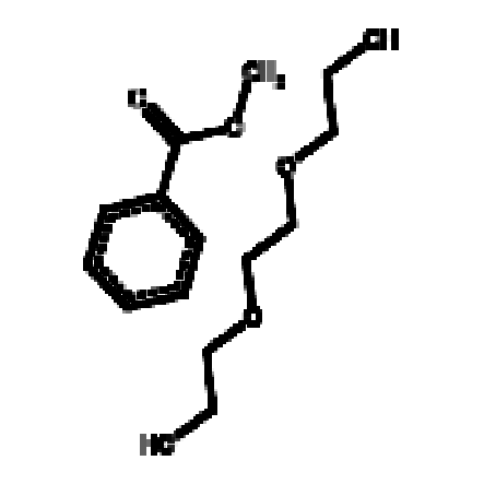 COC(=O)c1ccccc1.OCCOCCOCCO